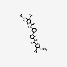 Cc1c(NC(=O)c2cc(C3CC3)c(CN)cn2)cccc1-c1cccc(NC(=O)c2cc(C3CC3)c(CNC3CC3)cn2)c1C